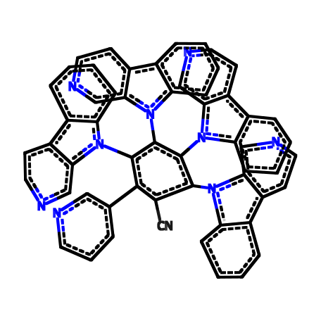 N#Cc1c(-c2cccnc2)c(-n2c3ccccc3c3ccncc32)c(-n2c3ccccc3c3ccncc32)c(-n2c3ccccc3c3ccncc32)c1-n1c2ccccc2c2ccncc21